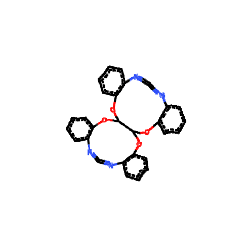 C1=Nc2ccccc2OC2Oc3ccccc3N=C=Nc3ccccc3OC2Oc2ccccc2N=1